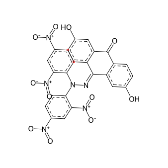 O=C1c2cc(O)ccc2C(=NN(c2ccc([N+](=O)[O-])cc2[N+](=O)[O-])c2ccc([N+](=O)[O-])cc2[N+](=O)[O-])c2cc(O)ccc21